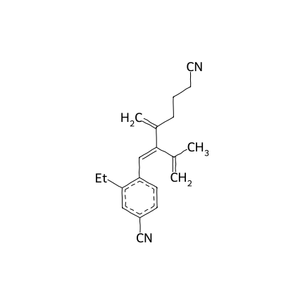 C=C(C)/C(=C\c1ccc(C#N)cc1CC)C(=C)CCCC#N